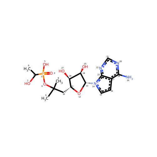 CC(O)P(=O)(O)OC(C)(C)C[C@H]1O[C@@H](n2ccc3c(N)ncnc32)[C@H](O)[C@@H]1O